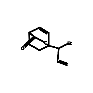 C=CC(CC)C12C=CC(CC1)C(=O)C2